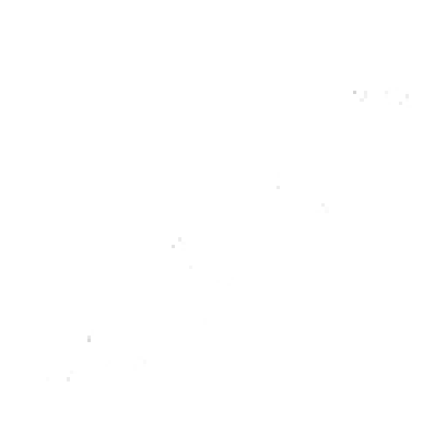 C=CC(=O)Oc1ccc(C(=O)Oc2ccc(OC(=O)c3ccc(OC)cc3)cc2)cc1